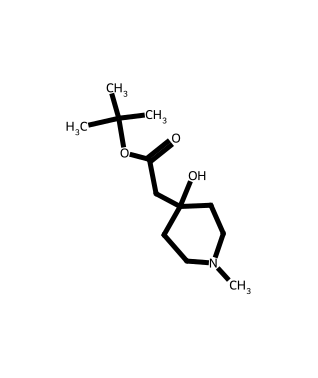 CN1CCC(O)(CC(=O)OC(C)(C)C)CC1